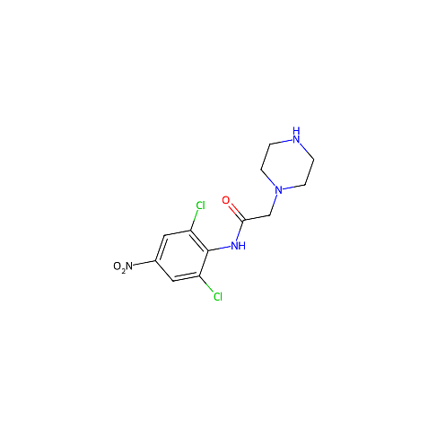 O=C(CN1CCNCC1)Nc1c(Cl)cc([N+](=O)[O-])cc1Cl